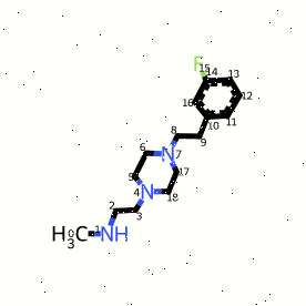 CNCCN1CCN(CCc2cccc(F)c2)CC1